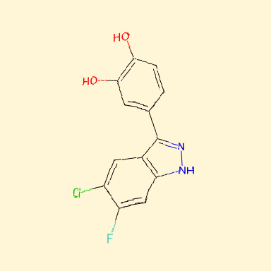 Oc1ccc(-c2n[nH]c3cc(F)c(Cl)cc23)cc1O